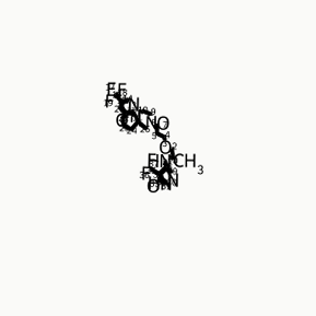 C[C@@H](COCCC(=O)N1CCN2c3ncc(C(F)(F)F)cc3OCCC2C1)Nc1cn[nH]c(=O)c1C(F)F